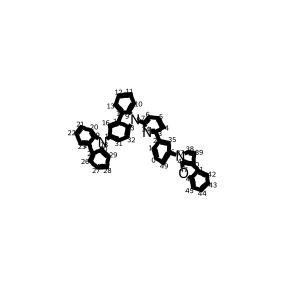 c1cc(-c2cccc(-n3c4ccccc4c4cc(-n5c6ccccc6c6ccccc65)ccc43)n2)cc(-n2ccc3c4ccccc4oc32)c1